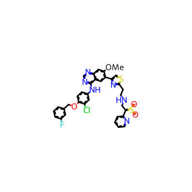 COc1cc2ncnc(Nc3ccc(OCc4cccc(F)c4)c(Cl)c3)c2cc1-c1csc(CCNCC(c2ccccn2)=S(=O)=O)n1